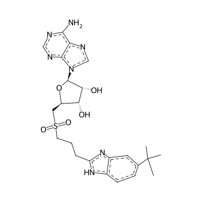 CC(C)(C)c1ccc2[nH]c(CCCS(=O)(=O)C[C@H]3O[C@@H](n4cnc5c(N)ncnc54)[C@H](O)[C@@H]3O)nc2c1